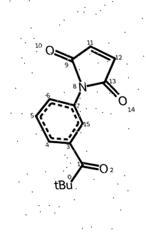 CC(C)(C)C(=O)c1cccc(N2C(=O)C=CC2=O)c1